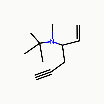 C#CCC(C=C)N(C)C(C)(C)C